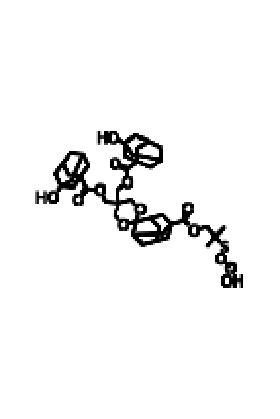 CC(C)(COC(=O)C12CC3CC(C1)C1(OCC(COC(=O)C45CC6CC(CC(O)(C6)C4)C5)(COC(=O)C45CC6CC(CC(O)(C6)C4)C5)CO1)C(C3)C2)SOOO